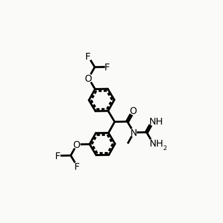 CN(C(=N)N)C(=O)C(c1ccc(OC(F)F)cc1)c1cccc(OC(F)F)c1